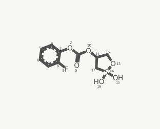 O=C(Oc1ccccc1F)OC1COS(O)(O)C1